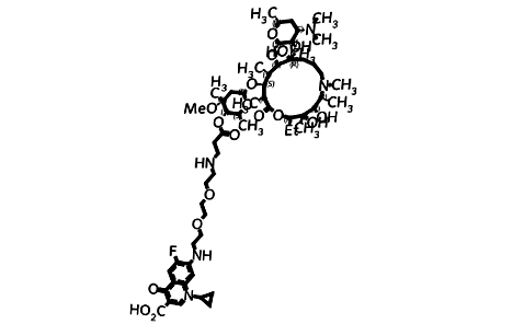 CC[C@H]1OC(=O)[C@H](C)[C@@H](O[C@H]2C[C@@](C)(OC)[C@@H](OC(=O)CCNCCOCCOCCNc3cc4c(cc3F)c(=O)c(C(=O)O)cn4C3CC3)[C@H](C)O2)[C@H](C)[C@@H](O[C@@H]2O[C@H](C)C[C@H](N(C)C)[C@H]2O)[C@](C)(O)CCCN(C)[C@H](C)[C@@H](O)[C@]1(C)O